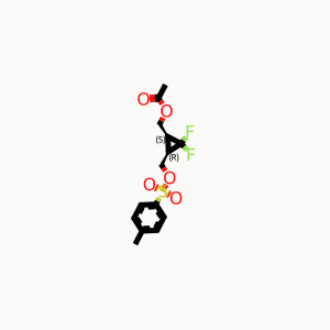 CC(=O)OC[C@@H]1[C@H](COS(=O)(=O)c2ccc(C)cc2)C1(F)F